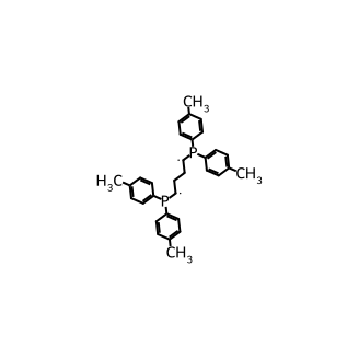 Cc1ccc(P([CH]CC[CH]P(c2ccc(C)cc2)c2ccc(C)cc2)c2ccc(C)cc2)cc1